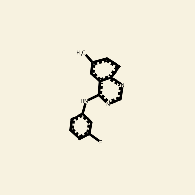 Cc1ccc2ncnc(Nc3cccc(F)c3)c2c1